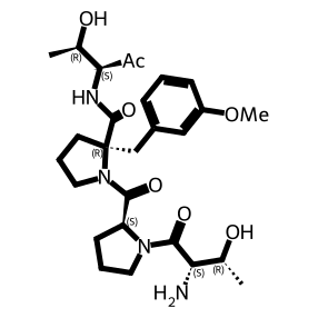 COc1cccc(C[C@@]2(C(=O)N[C@H](C(C)=O)[C@@H](C)O)CCCN2C(=O)[C@@H]2CCCN2C(=O)[C@@H](N)[C@@H](C)O)c1